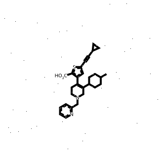 CC1CCC(C2=C(c3cc(C#CC4CC4)sc3C(=O)O)CCN(Cc3ccccn3)C2)CC1